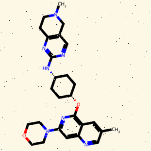 Cc1cnc2cc(N3CCOCC3)nc(O[C@H]3CC[C@@H](Nc4ncc5c(n4)CCN(C)C5)CC3)c2c1